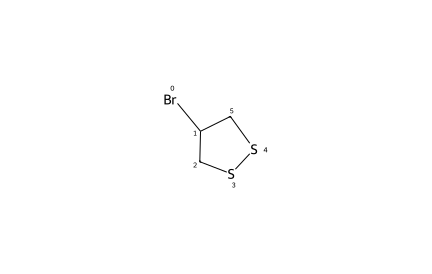 BrC1CSSC1